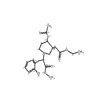 CCOC(=O)/C=C1\CN(C(C(=O)OC)c2ccccc2Cl)CCC1SC(C)=O